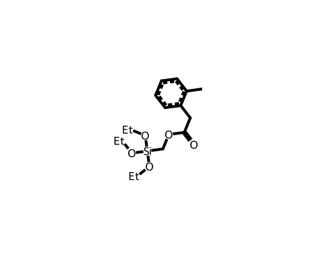 CCO[Si](COC(=O)Cc1ccccc1C)(OCC)OCC